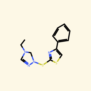 CCN1C=NN(Sc2nc(-c3ccccc3)cs2)C1